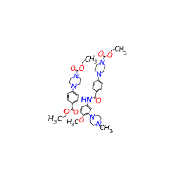 CCOC(=O)N1CCN(c2ccc(C(=O)Nc3ccc(OC)c(N4CCN(C)CC4)c3)cc2)CC1.CCOC(=O)c1ccc(N2CCN(C(=O)OCC)CC2)cc1